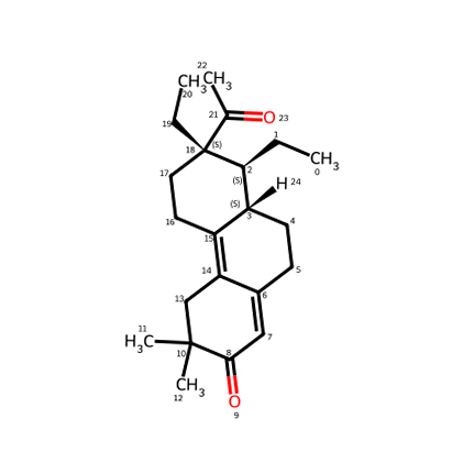 CC[C@H]1[C@@H]2CCC3=CC(=O)C(C)(C)CC3=C2CC[C@]1(CC)C(C)=O